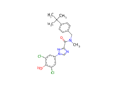 CN(Cc1ccc(C(C)(C)C)cc1)C(=O)c1ncn(-c2cc(Cl)c(O)c(Cl)c2)n1